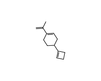 C=C(C)C1=CCC(C2=CCC2)CC1